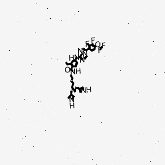 CCc1cc(Nc2nccn3c(-c4ccc(OC(F)F)c(F)c4F)cnc23)ccc1C(=O)NCCCCC[N+](C)(CC1CNC1)CC1CNC1